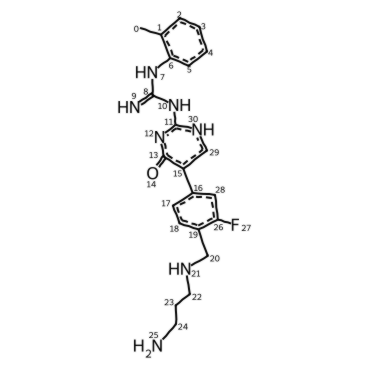 Cc1ccccc1NC(=N)Nc1nc(=O)c(-c2ccc(CNCCCN)c(F)c2)c[nH]1